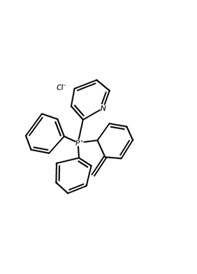 C=C1C=CC=CC1[P+](c1ccccc1)(c1ccccc1)c1ccccn1.[Cl-]